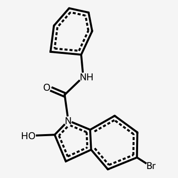 O=C(Nc1ccccc1)n1c(O)cc2cc(Br)ccc21